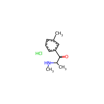 CNC(C)C(=O)c1cccc(C)c1.Cl